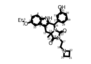 CCOc1ccc2[nH]c3c(c2c1)CC1(C)C(=O)N(CCN2CCC2)C(=O)N1C3c1cccc(O)c1